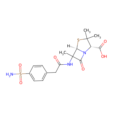 CC1(C)S[C@H]2N(C(=O)C2(C)NC(=O)Cc2ccc(S(N)(=O)=O)cc2)[C@H]1C(=O)O